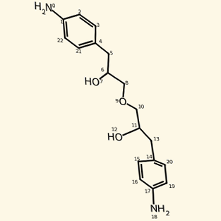 Nc1ccc(CC(O)COCC(O)Cc2ccc(N)cc2)cc1